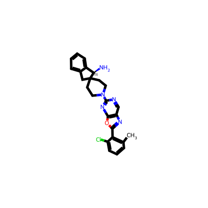 Cc1cccc(Cl)c1-c1nc2cnc(N3CCC4(CC3)Cc3ccccc3[C@H]4N)nc2o1